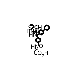 Cc1ccsc1NC(=O)NC(c1ccc(C(=O)NCCC(=O)O)cc1)c1ccc(C2CCCCC2)cc1